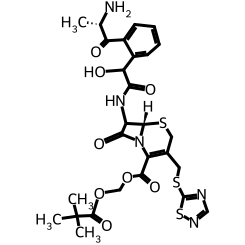 C[C@H](N)C(=O)c1ccccc1C(O)C(=O)NC1C(=O)N2C(C(=O)OCOC(=O)C(C)(C)C)=C(CSc3ncns3)CS[C@@H]12